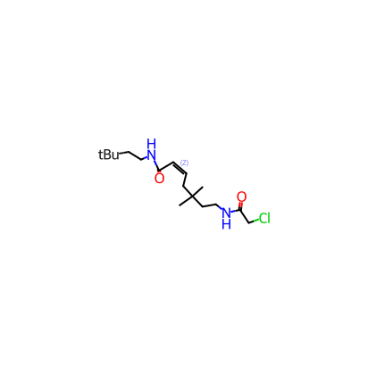 CC(C)(C)CCNC(=O)/C=C\CC(C)(C)CCNC(=O)CCl